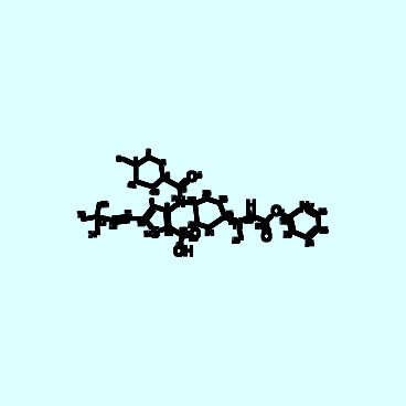 CC1CCC(C(=O)N(c2cc(C#CC(C)(C)C)sc2C(=O)O)C2CCC(N(C)NC(=O)Oc3ccccn3)CC2)CC1